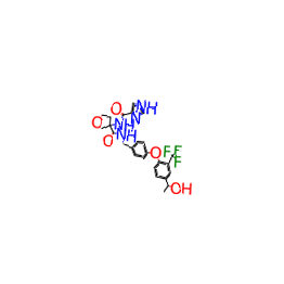 CC(O)c1ccc(Oc2ccc(CNC(=O)C3(NC(=O)c4c[nH]cn4)CCOC3)cc2)c(C(F)(F)F)c1